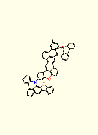 Cc1cc(C)c2c(c1)-c1cccc3c1c(cc1c4cccc5c4c(cc31)-c1ccc(N(c3ccccc3-c3ccccc3)c3cccc4c3oc3ccccc34)cc1O5)B2c1cccc2c1oc1ccccc12